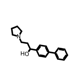 OC(CCN1CCCC1)c1ccc(-c2ccccc2)cc1